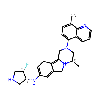 C[C@@H]1CN(c2ccc(C#N)c3ncccc23)CC2=C3CC=C(N[C@@H]4CNC[C@@H]4F)C=C3CN21